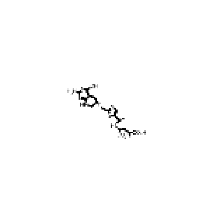 Nc1nc(O)c2c(n1)NCC(CCc1ncc(C(=O)N[C@@H](CCC(=O)O)C(=O)O)s1)C2